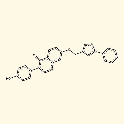 O=c1c(-c2ccc(O)cc2)coc2cc(OCc3cnn(-c4ccccc4)c3)ccc12